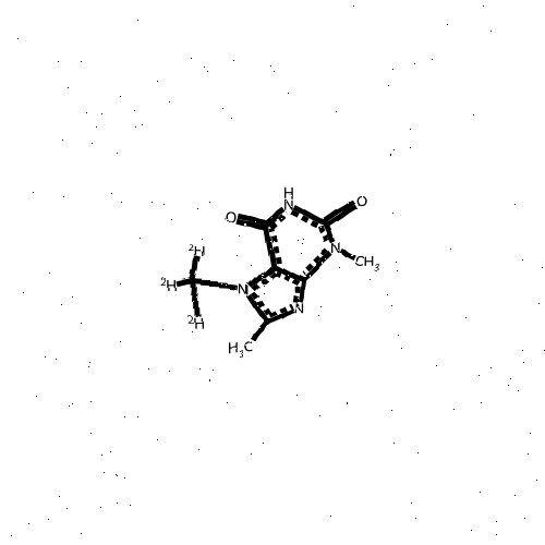 [2H]C([2H])([2H])n1c(C)nc2c1c(=O)[nH]c(=O)n2C